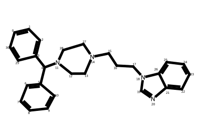 c1ccc(C(c2ccccc2)N2CCN(CCCn3cnc4ccccc43)CC2)cc1